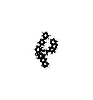 CC1(c2nc(-c3ccc4ccccc4c3)nc(-c3ccc4ccc5ccccc5c4c3)n2)c2c(oc3ccccc23)C=CC1c1ccc(-c2ccccc2)cc1